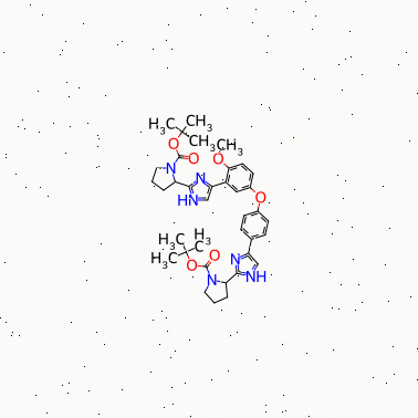 COc1ccc(Oc2ccc(-c3c[nH]c(C4CCCN4C(=O)OC(C)(C)C)n3)cc2)cc1-c1c[nH]c(C2CCCN2C(=O)OC(C)(C)C)n1